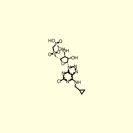 O=P(O)(O)CS(=O)(=O)C[C@H]1O[C@@H](n2nnc3c(NCC4CC4)nc(Cl)nc32)[C@H](O)[C@@H]1O